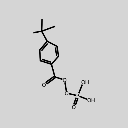 CC(C)(C)c1ccc(C(=O)OOP(=O)(O)O)cc1